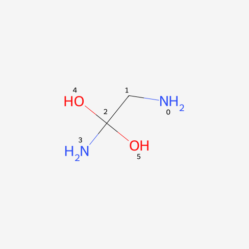 NCC(N)(O)O